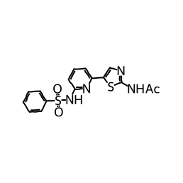 CC(=O)Nc1ncc(-c2cccc(NS(=O)(=O)c3ccccc3)n2)s1